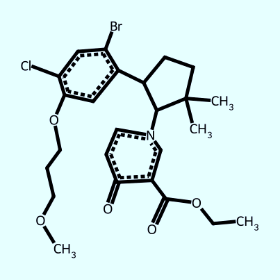 CCOC(=O)c1cn(C2C(c3cc(OCCCOC)c(Cl)cc3Br)CCC2(C)C)ccc1=O